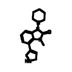 Cn1c(=O)n(N2CCCCC2)c2cccc(C3=CCNC3)c21